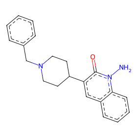 Nn1c(=O)c(C2CCN(Cc3ccccc3)CC2)cc2ccccc21